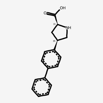 O=C(O)[C@@H]1C[C@H](c2ccc(-c3ccccc3)cc2)CN1